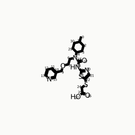 CC1CCC(N(CCOCc2cccnc2)C(=O)Nc2ncc(SCC(=O)O)s2)CC1